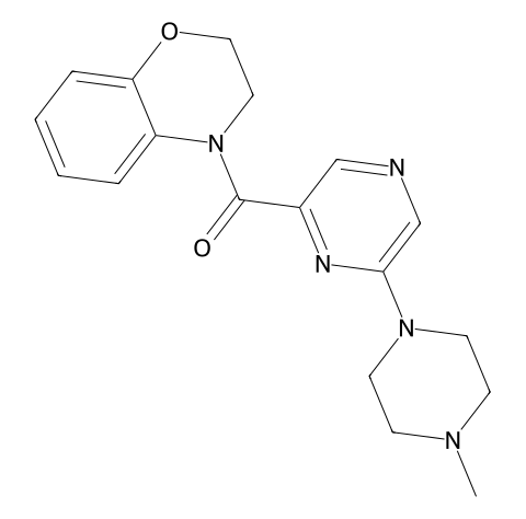 CN1CCN(c2cncc(C(=O)N3CCOc4ccccc43)n2)CC1